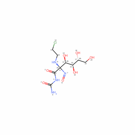 NC(=O)NC(=O)[C@](N=O)(NCCCl)[C@@H](O)[C@H](O)[C@H](O)CO